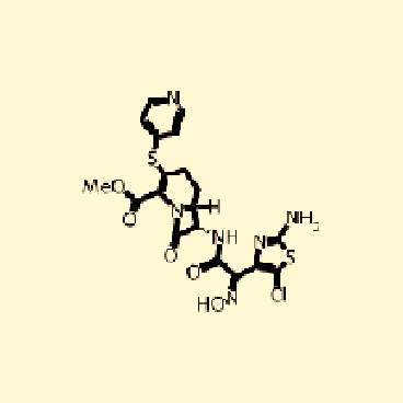 COC(=O)C1=C(Sc2ccncc2)CC[C@@H]2[C@H](NC(=O)/C(=N\O)c3nc(N)sc3Cl)C(=O)N12